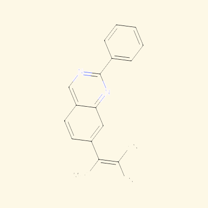 COC(=C(C#N)C#N)c1ccc2cnc(-c3ccccc3)nc2c1